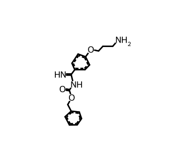 N=C(NC(=O)OCc1ccccc1)c1ccc(OCCCN)cc1